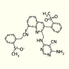 CS(=O)(=O)c1ccccc1-c1cc2cccc(F)c2nc1CNc1ncnc(N)c1C#N.C[S+]([O-])c1ccccc1CC#N